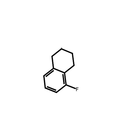 Fc1cccc2c1CC[CH]C2